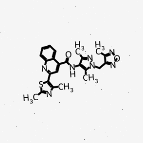 Cc1nc(C)c(-c2cc(C(=O)Nc3c(C)nn(Cc4nonc4C)c3C)c3ccccc3n2)s1